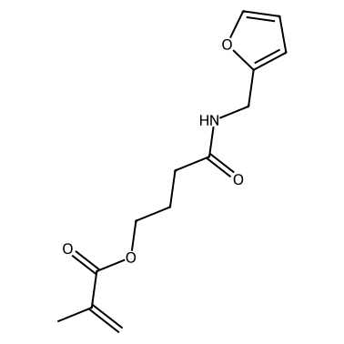 C=C(C)C(=O)OCCCC(=O)NCc1ccco1